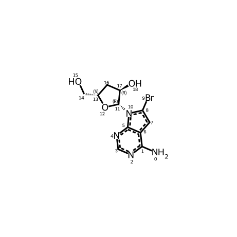 Nc1ncnc2c1cc(Br)n2[C@@H]1O[C@H](CO)C[C@H]1O